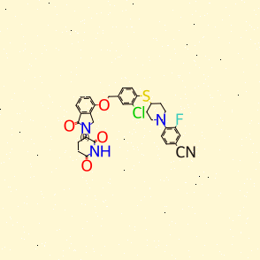 N#Cc1ccc(N2CCC(Sc3ccc(COc4cccc5c4CN([C@@H]4CCC(=O)NC4=O)C5=O)cc3Cl)CC2)c(F)c1